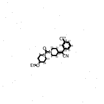 CCOC1CCN(C(=O)N2CCC(=C(C#N)c3cccc(Cl)c3)CC2)CC1